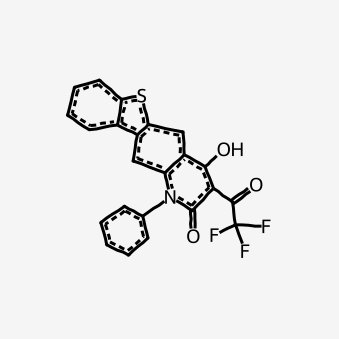 O=C(c1c(O)c2cc3sc4ccccc4c3cc2n(-c2ccccc2)c1=O)C(F)(F)F